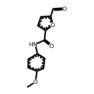 COc1ccc(NC(=O)c2ccc(C=O)o2)cc1